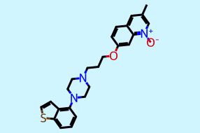 Cc1cc2ccc(OCCCN3CCN(c4cccc5sccc45)CC3)cc2[n+]([O-])c1